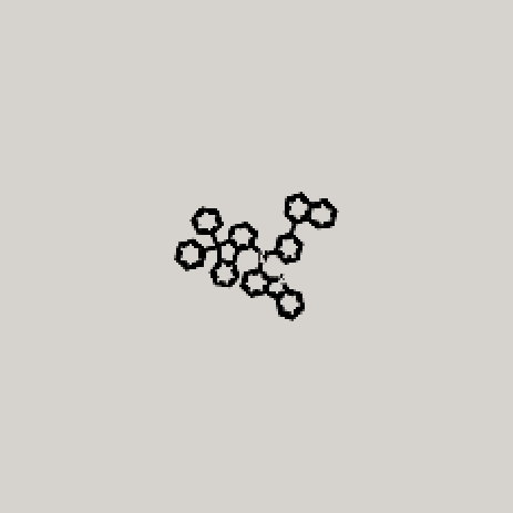 c1ccc(C2(c3ccccc3)c3ccccc3-c3c(N(c4cccc(-c5cccc6ccccc56)c4)c4cccc5c4sc4ccccc45)cccc32)cc1